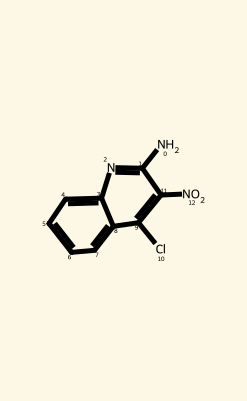 Nc1nc2ccccc2c(Cl)c1[N+](=O)[O-]